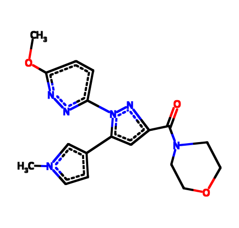 COc1ccc(-n2nc(C(=O)N3CCOCC3)cc2-c2ccn(C)c2)nn1